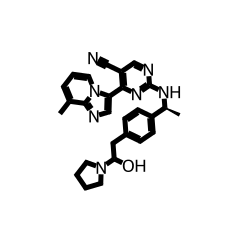 Cc1cccn2c(-c3nc(N[C@@H](C)c4ccc(CC(O)N5CCCC5)cc4)ncc3C#N)cnc12